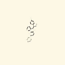 CN1CCN(c2ccc(N/C(=C3\C(=O)Nc4cc(N)ccc43)c3cccnc3)cn2)CC1